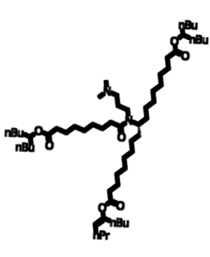 CCC/C=C(\CCCC)OC(=O)CCCCCCCC[C@@H](CCCCCCCCC(=O)OC(CCCC)CCCC)N(CCCN(C)C)C(=O)CCCCCCCC(=O)OC(CCCC)CCCC